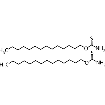 CCCCCCCCCCCCCCOC(N)=S.CCCCCCCCCCCCCCOC(N)=S